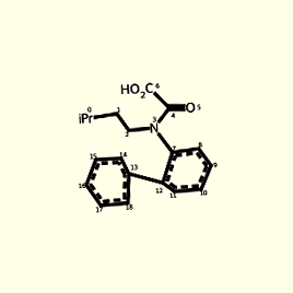 CC(C)CCN(C(=O)C(=O)O)c1ccccc1-c1ccccc1